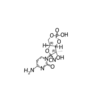 C[C@@]1(O)[C@@H]2OP(=O)(O)OC[C@H]2O[C@@]1(C#N)n1ccc(N)nc1=O